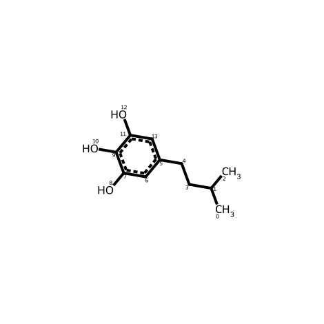 CC(C)CCc1cc(O)c(O)c(O)c1